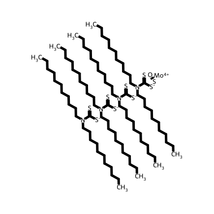 CCCCCCCCCCCN(CCCCCCCCCCC)C(=S)[S-].CCCCCCCCCCCN(CCCCCCCCCCC)C(=S)[S-].CCCCCCCCCCCN(CCCCCCCCCCC)C(=S)[S-].CCCCCCCCCCCN(CCCCCCCCCCC)C(=S)[S-].O=S.[Mo+4]